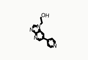 OCCn1cnc2ncc(-c3ccncc3)cc21